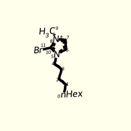 CCCCCCCCCCn1cc[n+](C)c1Br